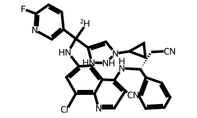 [2H]C(Nc1cc(Cl)c2ncc(C#N)c(N[C@H](CC#N)c3ccccc3)c2c1)(C1=CN(C2CC2)NN1)c1ccc(F)nc1